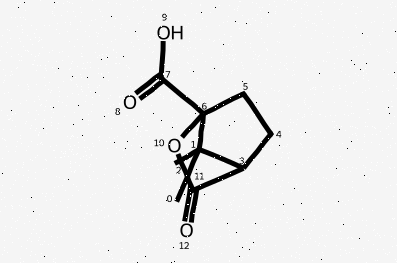 CC1(C)C2CCC1(C(=O)O)OC2=O